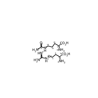 N=C(N)NOCC[C@H](N)C(=O)O.NC(=O)NCCC[C@H](N)C(=O)O